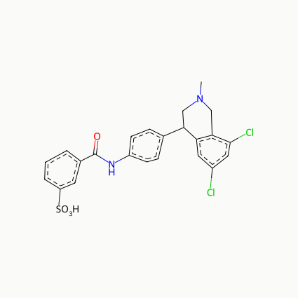 CN1Cc2c(Cl)cc(Cl)cc2C(c2ccc(NC(=O)c3cccc(S(=O)(=O)O)c3)cc2)C1